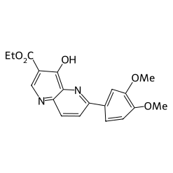 CCOC(=O)c1cnc2ccc(-c3ccc(OC)c(OC)c3)nc2c1O